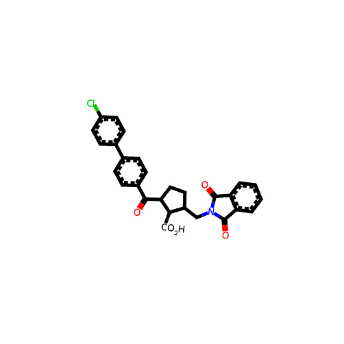 O=C(c1ccc(-c2ccc(Cl)cc2)cc1)C1CCC(CN2C(=O)c3ccccc3C2=O)C1C(=O)O